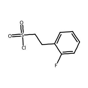 O=S(=O)(Cl)CCc1ccccc1F